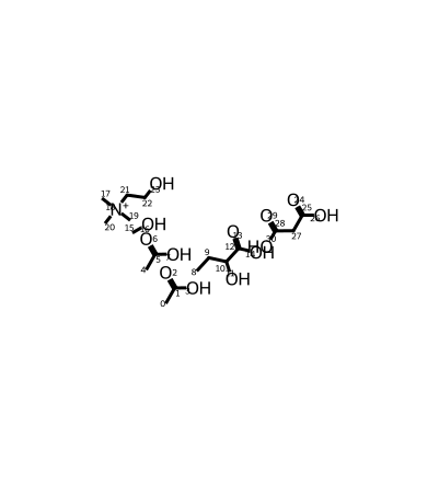 CC(=O)O.CC(=O)O.CCC(O)C(=O)O.CO.C[N+](C)(C)CCO.O=C(O)CC(=O)O